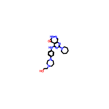 OCCN1CCCN(c2ccc(Nc3nc(N4CCCCCC4)nc4c3C3OC3NN=C4)cc2)CC1